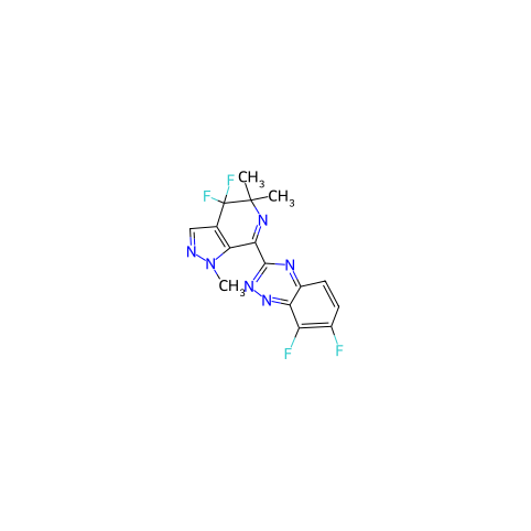 Cn1ncc2c1C(c1nnc3c(F)c(F)ccc3n1)=NC(C)(C)C2(F)F